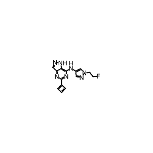 FCCn1cc(Nc2nc(C3=CC=C3)nc3cn[nH]c23)cn1